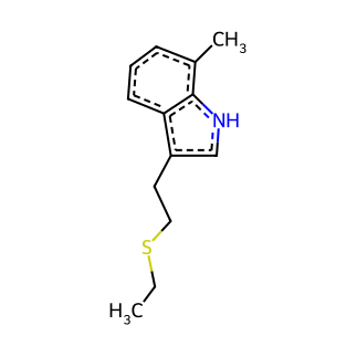 CCSCCc1c[nH]c2c(C)cccc12